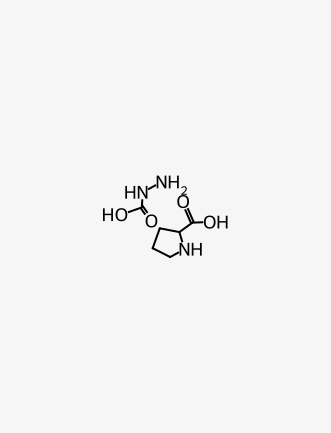 NNC(=O)O.O=C(O)C1CCCN1